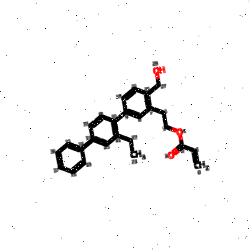 C=CC(=O)OCCc1cc(-c2ccc(-c3ccccc3)cc2CC)ccc1CO